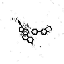 CC#C[C@]1(O)CC[C@H]2[C@@H]3CCC4=CC(=O)CCC4=C3[C@@H](c3ccc(-c4ccc5c(c4)OCCO5)cc3)C[C@@]21C